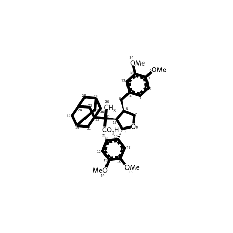 COc1ccc(C[C@H]2CO[C@H](c3ccc(OC)c(OC)c3)[C@H]2C(C)(C(=O)O)C23CC4CC(CC(C4)C2)C3)cc1OC